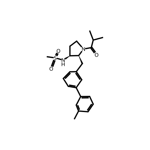 Cc1cccc(-c2cccc(C[C@H]3[C@@H](NS(C)(=O)=O)CCN3C(=O)C(C)C)c2)c1